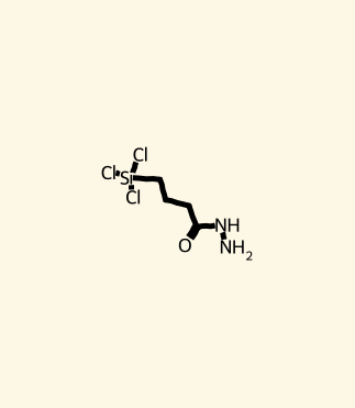 NNC(=O)CCC[Si](Cl)(Cl)Cl